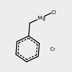 [Cl][Mg][CH2]c1ccccc1.[Cr]